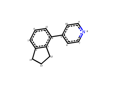 c1cc2c(c(-c3ccncc3)c1)CCC2